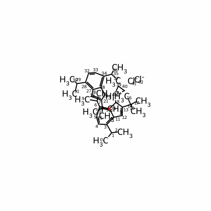 CC(C)c1ccc(C(C)C)c2c1C=C(C(C)(C)C)[CH]2[Hf+2]1([CH]2C(C(C)(C)C)=Cc3c(C(C)C)ccc(C(C)C)c32)[CH2][CH2]1.[Cl-].[Cl-]